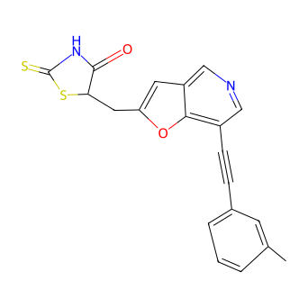 Cc1cccc(C#Cc2cncc3cc(CC4SC(=S)NC4=O)oc23)c1